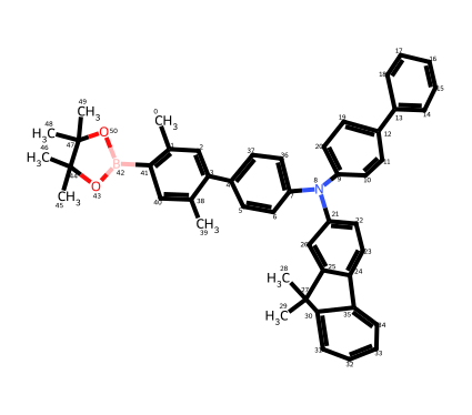 Cc1cc(-c2ccc(N(c3ccc(-c4ccccc4)cc3)c3ccc4c(c3)C(C)(C)c3ccccc3-4)cc2)c(C)cc1B1OC(C)(C)C(C)(C)O1